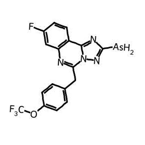 Fc1ccc2c(c1)nc(Cc1ccc(OC(F)(F)F)cc1)n1nc([AsH2])nc21